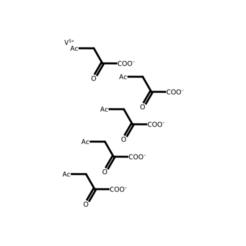 CC(=O)CC(=O)C(=O)[O-].CC(=O)CC(=O)C(=O)[O-].CC(=O)CC(=O)C(=O)[O-].CC(=O)CC(=O)C(=O)[O-].CC(=O)CC(=O)C(=O)[O-].[V+5]